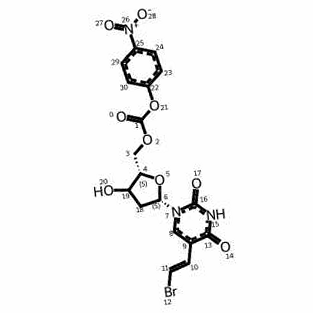 O=C(OC[C@@H]1O[C@H](n2cc(C=CBr)c(=O)[nH]c2=O)CC1O)Oc1ccc([N+](=O)[O-])cc1